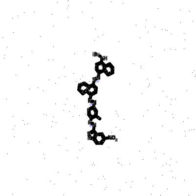 CCC(C)Nc1ccc(/N=N/c2ccc(/N=N/c3ccc(/N=N/c4snc5ccc([N+](=O)[O-])cc45)c(C)c3)c3ccccc23)c2ccccc12